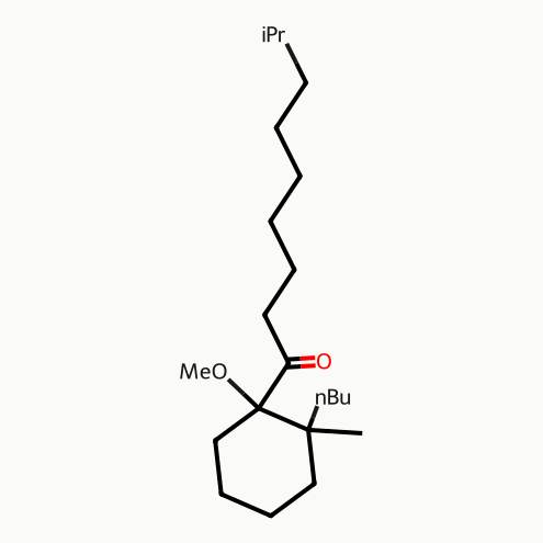 CCCCC1(C)CCCCC1(OC)C(=O)CCCCCCC(C)C